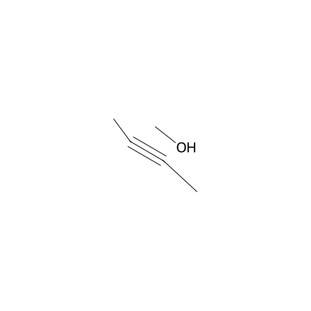 CC#CC.CO